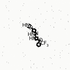 O=C(c1c[nH]c(-c2nc3ccc(N4CCNCC4)cc3[nH]2)c1)c1ccccc1C(F)(F)F